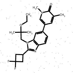 CCOC(C)(C)Cn1c(C2CC(F)(F)C2)nc2ccc(-c3cc(C)c(=O)n(C)c3)cc21